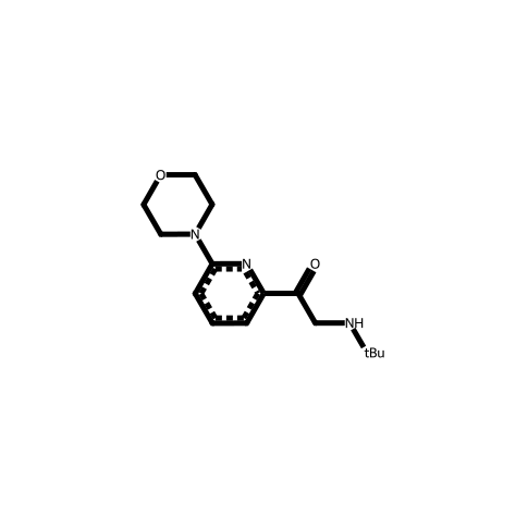 CC(C)(C)NCC(=O)c1cccc(N2CCOCC2)n1